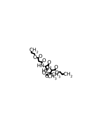 C=CCOC(=O)CC(=O)N[C@@H]1C(=O)N2C(C(=O)OCC=C)C(C)(C)S(=O)(=O)[C@@H]12